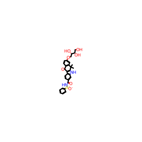 CC1(C)c2cc(OC[C@@H](O)[C@H](O)CO)ccc2C(=O)c2c1[nH]c1cc(C(=O)N[S+]([O-])c3ccccc3)ccc21